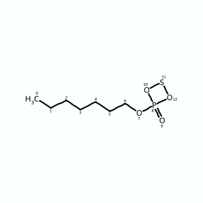 CCCCCCCOP1(=O)OSO1